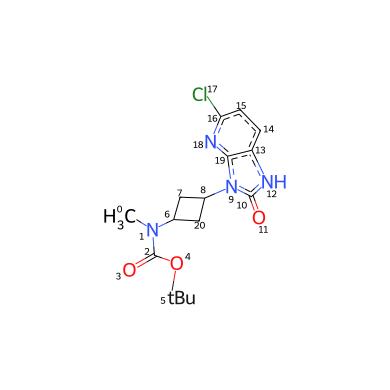 CN(C(=O)OC(C)(C)C)C1CC(n2c(=O)[nH]c3ccc(Cl)nc32)C1